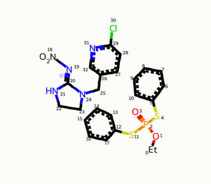 CCOP(=O)(Sc1ccccc1)Sc1ccccc1.O=[N+]([O-])/N=C1\NCCN1Cc1ccc(Cl)nc1